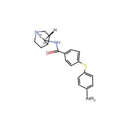 O=C(N[C@H]1CN2CCC1CC2)c1ccc(Sc2ccc([AsH2])cc2)cc1